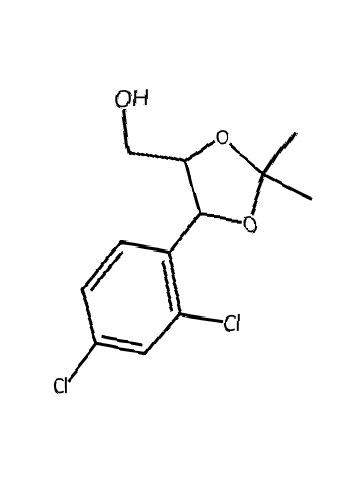 CC1(C)OC(CO)C(c2ccc(Cl)cc2Cl)O1